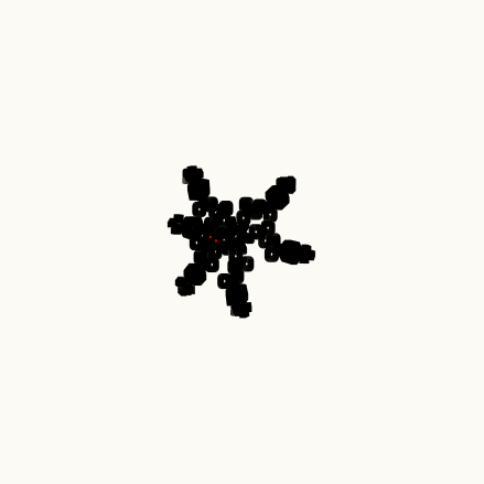 C[Si](C)(C)c1ccc(C(=O)OOC(=O)OCCC(COC(=O)OOC(=O)c2ccc([Si](C)(C)C)cc2)C(COC(=O)OOC(=O)c2ccc([Si](C)(C)C)cc2)C(COC(=O)OOC(=O)c2ccc([Si](C)(C)C)cc2)C(CCOC(=O)OOC(=O)c2ccc([Si](C)(C)C)cc2)COC(=O)OOC(=O)c2ccc([Si](C)(C)C)cc2)cc1